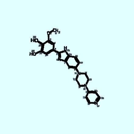 COc1cc(-c2nc3cc(N4CCN(c5ccncc5)CC4)ccc3[nH]2)cc(O)c1O